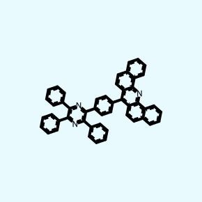 c1ccc(-c2nc(-c3ccccc3)c(-c3ccc(-c4c5ccc6ccccc6c5nc5c4ccc4ccccc45)cc3)nc2-c2ccccc2)cc1